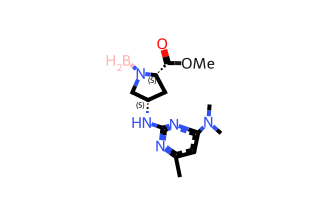 BN1C[C@@H](Nc2nc(C)cc(N(C)C)n2)C[C@H]1C(=O)OC